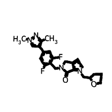 Cc1nn(C)cc1-c1cc(F)c(CN2Cc3ccn(CC4CCCO4)c3C2=O)c(F)c1